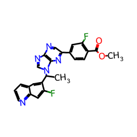 COC(=O)c1ccc(-c2cnc3ncn(C(C)c4cc5cccnc5cc4F)c3n2)cc1F